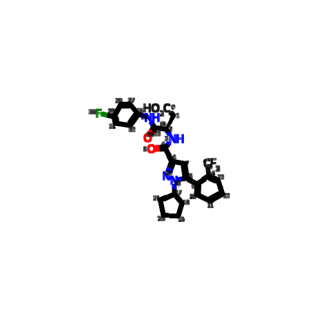 O=C(O)C[C@@H](NC(=O)c1cc(-c2ccccc2C(F)(F)F)n(C2CCCC2)n1)C(=O)Nc1ccc(F)cc1